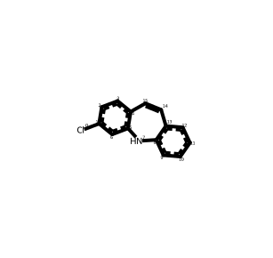 Clc1ccc2c(c1)Nc1ccccc1C=C2